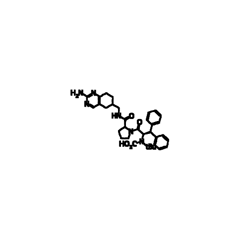 CC(C)(C)N(C(=O)O)[C@@H](C(=O)N1CCC[C@H]1C(=O)NCC1CCc2nc(N)ncc2C1)C(c1ccccc1)c1ccccc1